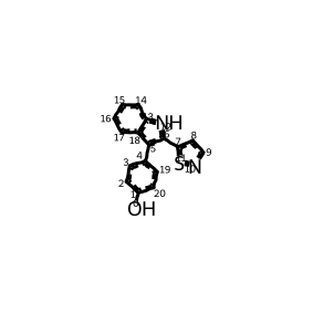 Oc1ccc(-c2c(-c3ccns3)[nH]c3ccccc23)cc1